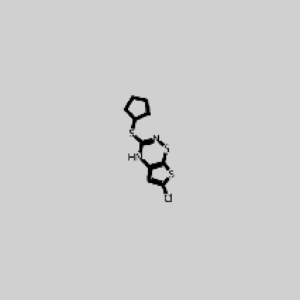 Clc1cc2c(s1)SN=C(SC1CCCC1)N2